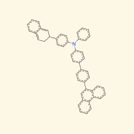 C1=c2ccccc2=CC(c2ccc(N(c3ccccc3)c3ccc(-c4ccc(-c5cc6ccccc6c6ccccc56)cc4)cc3)cc2)C1